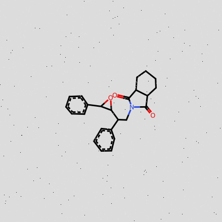 O=C1C2CCCCC2C(=O)N1CC(c1ccccc1)C1OC1c1ccccc1